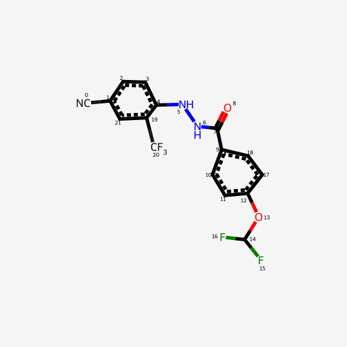 N#Cc1ccc(NNC(=O)c2ccc(OC(F)F)cc2)c(C(F)(F)F)c1